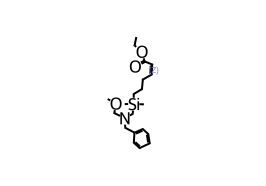 CCOC(=O)/C=C\CCC[Si](C)(C)CN(COC)Cc1ccccc1